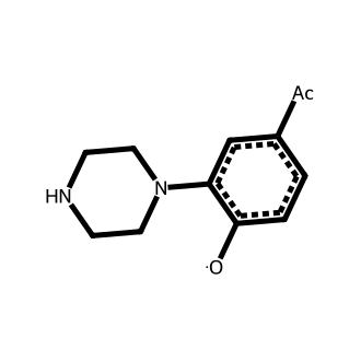 CC(=O)c1ccc([O])c(N2CCNCC2)c1